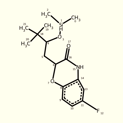 C[SiH](C)OC(CC1Oc2ccc(F)cc2NC1=O)C(C)(C)C